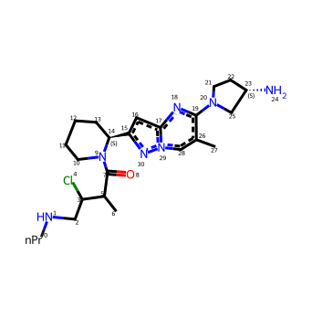 CCCNCC(Cl)C(C)C(=O)N1CCCC[C@H]1c1cc2nc(N3CC[C@H](N)C3)c(C)cn2n1